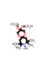 CC(=O)N1C(C)(C)CC2(CC1(C)C)OCC(OC(=O)O)(OC(=O)O)CO2